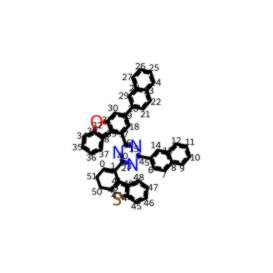 C1=C(c2nc(-c3ccc4ccccc4c3)nc(-c3cc(-c4ccc5ccccc5c4)cc4oc5ccccc5c34)n2)c2c(sc3ccccc23)CC1